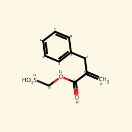 C=C(Cc1ccccc1)C(=O)OCS(=O)(=O)O